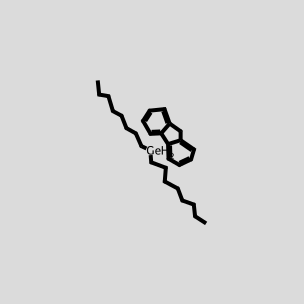 CCCCCCC[CH2][GeH2][CH2]CCCCCCC.c1ccc2c(c1)Cc1ccccc1-2